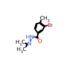 CC(C)=NNC(=O)c1ccc(C)c(Br)c1